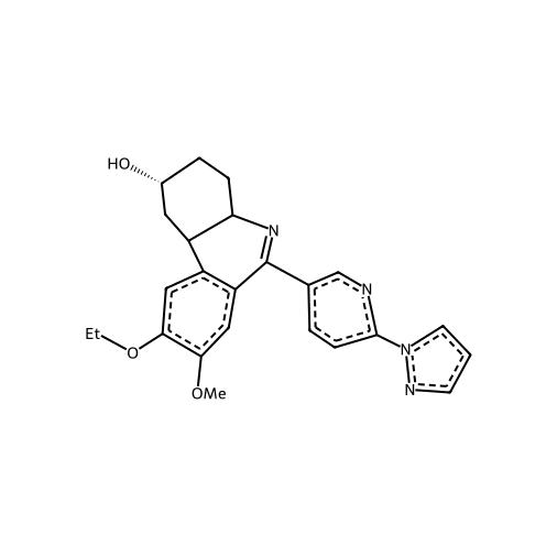 CCOc1cc2c(cc1OC)C(c1ccc(-n3cccn3)nc1)=NC1CC[C@@H](O)CC21